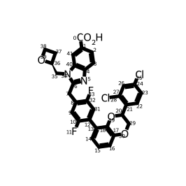 O=C(O)c1ccc2nc(Cc3cc(F)c(-c4cccc5c4OC(c4ccc(Cl)cc4Cl)CO5)cc3F)n(C[C@@H]3CCO3)c2c1